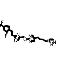 Fc1cc(C(F)(F)F)ccc1/C=C/c1nc(COc2ncc(CCCCn3ccnn3)cn2)co1